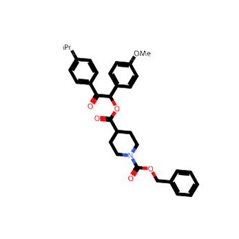 COc1ccc(C(OC(=O)C2CCN(C(=O)OCc3ccccc3)CC2)C(=O)c2ccc(C(C)C)cc2)cc1